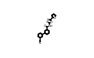 N#Cc1cccc(-c2cccc(C(=O)Nc3nnc(-c4ccco4)o3)c2)c1